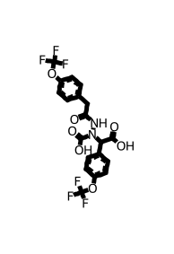 O=C(Cc1ccc(OC(F)(F)F)cc1)NN(C(=O)O)C(C(=O)O)c1ccc(OC(F)(F)F)cc1